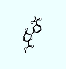 COC(=O)c1ccc(=O)n(-c2cccc(S(C)(=O)=O)c2)n1